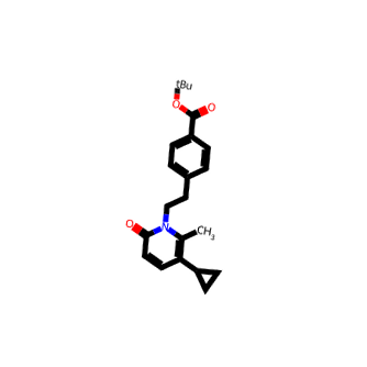 Cc1c(C2CC2)ccc(=O)n1CCc1ccc(C(=O)OC(C)(C)C)cc1